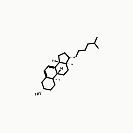 CC(C)CCCC[C@H]1CC[C@H]2C3=CC=C4C[C@@H](O)CC[C@]4(C)[C@H]3CC[C@]12C